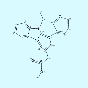 CCn1c2ccccc2c2cc(CC(=O)OC)nc(-c3ccccc3)c21